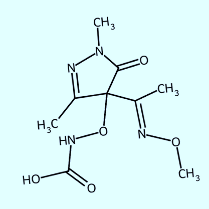 CO/N=C(\C)C1(ONC(=O)O)C(=O)N(C)N=C1C